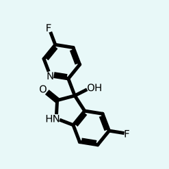 O=C1Nc2ccc(F)cc2C1(O)c1ccc(F)cn1